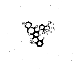 CN(C)C1CCN(c2nc(-c3c(O)cccc3F)c(Cl)c3c2C(=O)N2CCNCC2CO3)C1(C)C